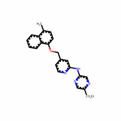 CCOC(=O)c1cnc(Nc2cc(COc3ccc(C)c4ccccc34)ccn2)cn1